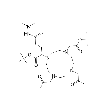 CC(=O)CN1CCN(CC(C)=O)CCN([C@H](CCC(=O)NN(C)C)C(=O)OC(C)(C)C)CCN(CC(=O)OC(C)(C)C)CC1